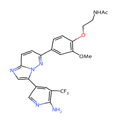 COc1cc(-c2ccc3ncc(-c4cnc(N)c(C(F)(F)F)c4)n3n2)ccc1OCCNC(C)=O